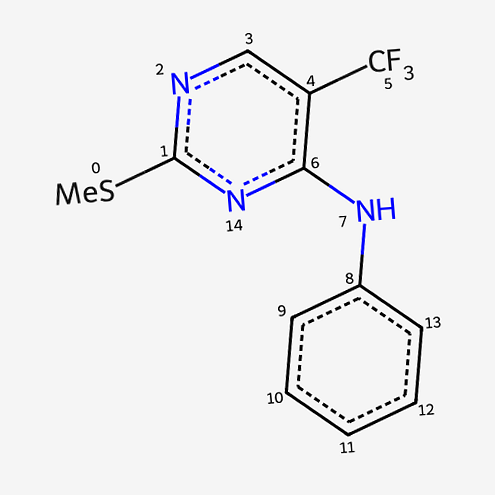 CSc1ncc(C(F)(F)F)c(Nc2ccccc2)n1